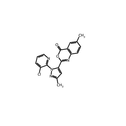 Cc1ccc2nc(-c3cc(C)nn3-c3ncccc3Cl)oc(=O)c2c1